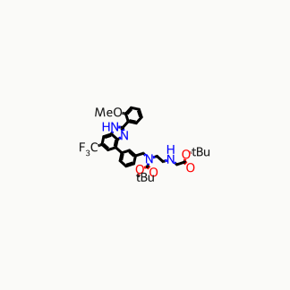 COc1ccccc1-c1nc2c(-c3cccc(CN(CCNCC(=O)OC(C)(C)C)C(=O)OC(C)(C)C)c3)cc(C(F)(F)F)cc2[nH]1